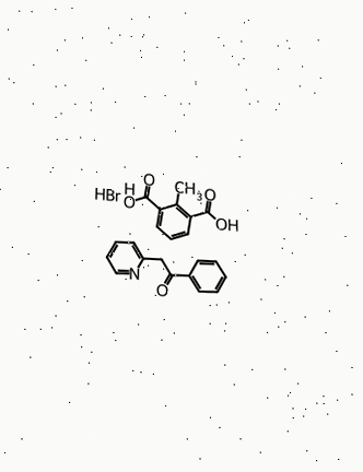 Br.Cc1c(C(=O)O)cccc1C(=O)O.O=C(Cc1ccccn1)c1ccccc1